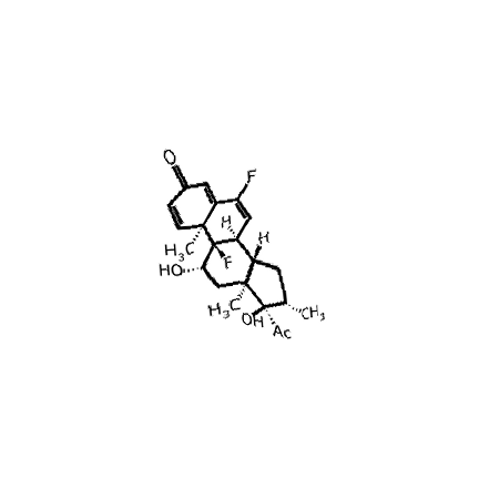 CC(=O)[C@@]1(O)[C@@H](C)C[C@H]2[C@@H]3C=C(F)C4=CC(=O)C=C[C@]4(C)[C@@]3(F)[C@@H](O)C[C@@]21C